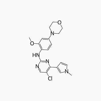 COc1cc(N2CCOCC2)ccc1Nc1ncc(Cl)c(-c2ccn(C)c2)n1